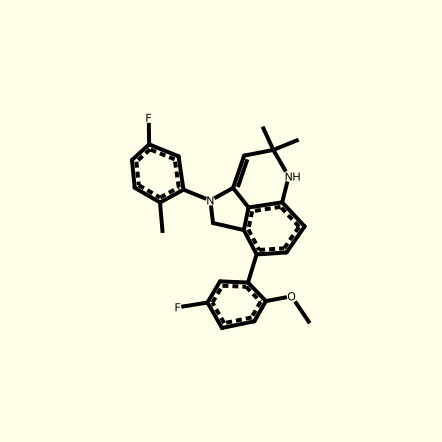 COc1ccc(F)cc1-c1ccc2c3c1CN(c1cc(F)ccc1C)C3=CC(C)(C)N2